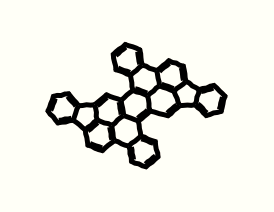 c1ccc2c(c1)c1ccc3c4ccccc4c4c5cc6c7ccccc7c7ccc8c9ccccc9c(c9cc2c1c3c94)c5c8c76